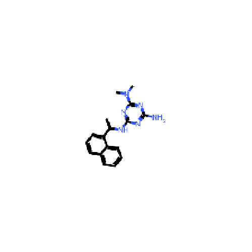 CC(Nc1nc(N)nc(N(C)C)n1)c1cccc2ccccc12